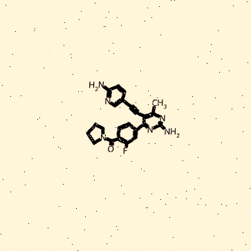 Cc1nc(N)nc(-c2ccc(C(=O)N3CCCC3)c(F)c2)c1C#Cc1ccc(N)nc1